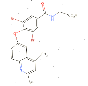 CCCc1cc(C)c2cc(Oc3c(Br)cc(C(=O)NCC(=O)O)cc3Br)ccc2n1